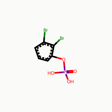 O=P(O)(O)Oc1cccc(Br)c1Br